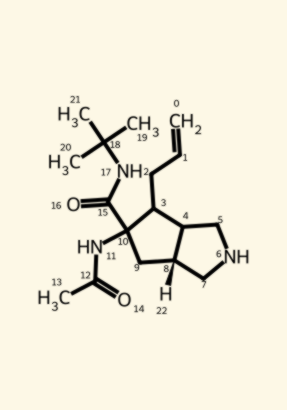 C=CCC1C2CNC[C@@H]2CC1(NC(C)=O)C(=O)NC(C)(C)C